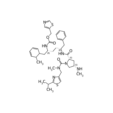 CN[C@H]1C[C@@H](C(=O)N[C@H](CC[C@H](CC2C=CC=CC2C)NC(=O)OCc2cncs2)Cc2ccccc2)N(C(=O)N(C)Cc2csc(C(C)C)n2)C1